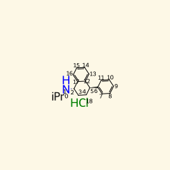 CC(C)N[C@H]1CC[C@H](c2ccccc2)c2ccccc21.Cl